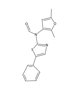 Cc1cc(N(C=O)c2ncc(-c3ccccc3)s2)c(C)o1